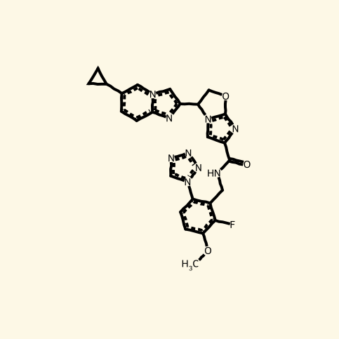 COc1ccc(-n2cnnn2)c(CNC(=O)c2cn3c(n2)OCC3c2cn3cc(C4CC4)ccc3n2)c1F